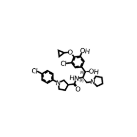 O=C(N[C@H](CN1CCCC1)[C@H](O)c1cc(O)c(OC2CC2)c(Cl)c1)C1CCN(c2ccc(Cl)cc2)C1